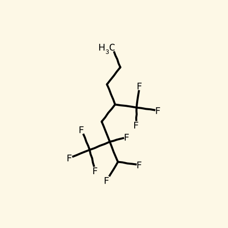 CCCC(CC(F)(C(F)F)C(F)(F)F)C(F)(F)F